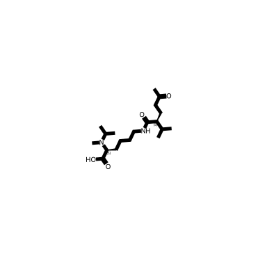 CC(=O)CC[C@H](C(=O)NCCCC[C@@H](C(=O)O)N(C)C(C)C)C(C)C